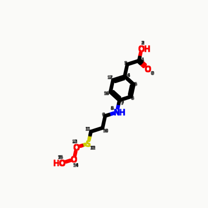 O=C(O)Cc1ccc(NCCCSOOO)cc1